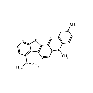 Cc1ccc(N(C)n2cnc3c(sc4nccc(N(C)C)c43)c2=O)cc1